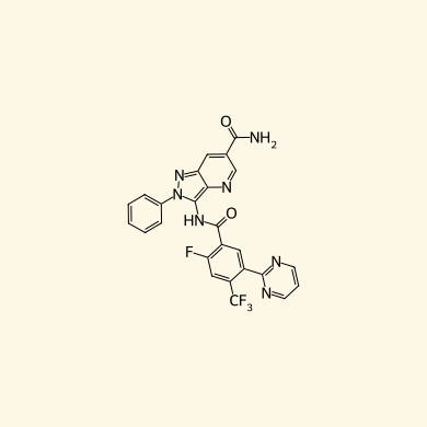 NC(=O)c1cnc2c(NC(=O)c3cc(-c4ncccn4)c(C(F)(F)F)cc3F)n(-c3ccccc3)nc2c1